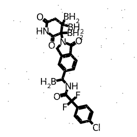 BC(NC(=O)C(F)(F)c1ccc(Cl)cc1)c1ccc2c(c1)CN(C1(B)C(=O)NC(=O)CC1(B)B)C2=O